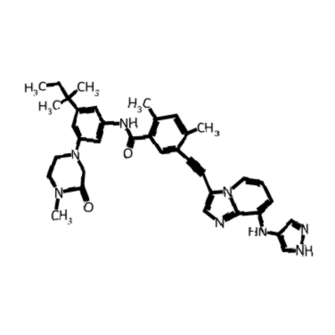 CCC(C)(C)c1cc(NC(=O)c2cc(C#Cc3cnc4c(Nc5cn[nH]c5)cccn34)c(C)cc2C)cc(N2CCN(C)C(=O)C2)c1